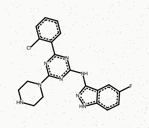 Fc1ccc2[nH]nc(Nc3nc(-c4ccccc4Cl)nc(N4CCNCC4)n3)c2c1